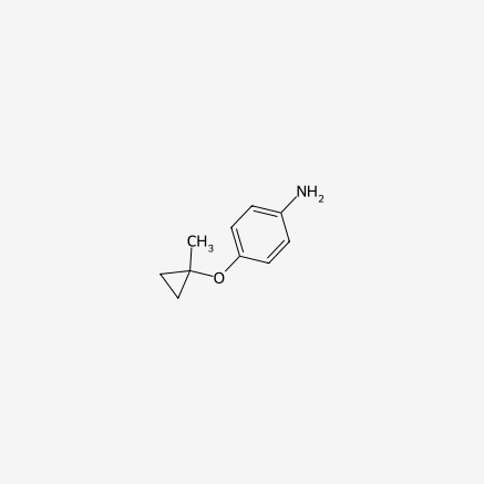 CC1(Oc2ccc(N)cc2)CC1